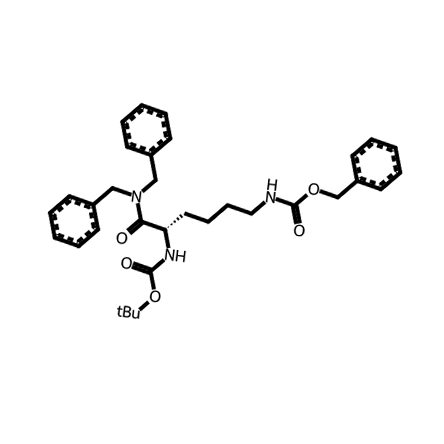 CC(C)(C)OC(=O)N[C@@H](CCCCNC(=O)OCc1ccccc1)C(=O)N(Cc1ccccc1)Cc1ccccc1